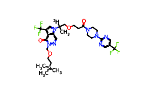 [2H]C(C)(COCCC(=O)N1CCN(c2ncc(C(F)(F)F)cn2)CC1)n1cc(C(F)(F)F)c2c(=O)n(COCC[Si](C)(C)C)ncc21